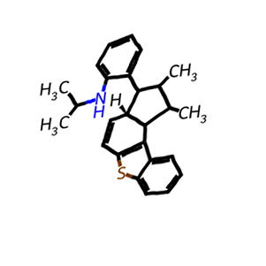 CC(C)Nc1ccccc1C1C(C)C(C)C2c3c(sc4ccccc34)C=C[C@H]12